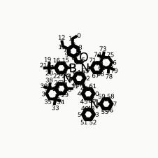 CCc1cc2oc3c(c2cc1CC)B1c2ccc(C(C)(C)C)cc2N(c2cc4c(cc2C)C(C)(C)CCC4(C)C)c2cc(-c4ccc(N(c5ccccc5)c5ccccc5)cc4)cc(c21)N3c1ccc2c(c1)C(C)(C)CCC2(C)C